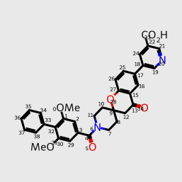 COc1cc(C(=O)N2CCC3(CC2)CC(=O)c2cc(-c4cncc(C(=O)O)c4)ccc2O3)cc(OC)c1-c1ccccc1